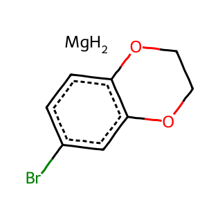 Brc1ccc2c(c1)OCCO2.[MgH2]